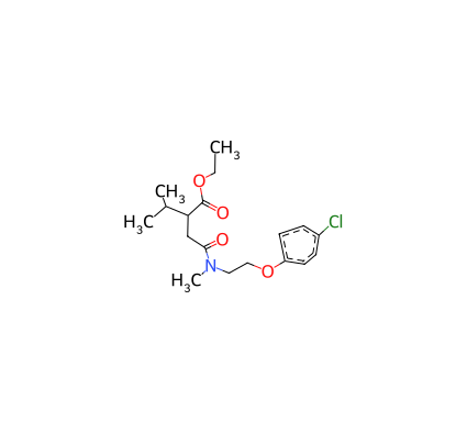 CCOC(=O)C(CC(=O)N(C)CCOc1ccc(Cl)cc1)C(C)C